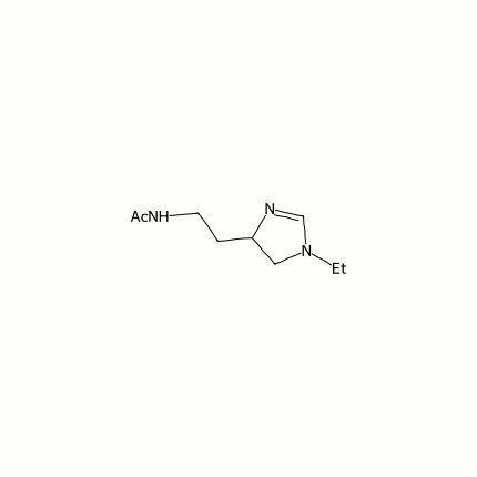 CCN1C=NC(CCNC(C)=O)C1